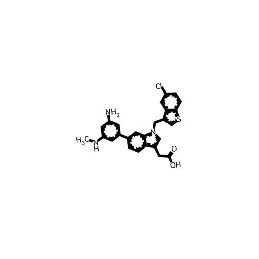 CNc1cc(N)cc(-c2ccc3c(CC(=O)O)cn(Cc4csc5ccc(Cl)cc45)c3c2)c1